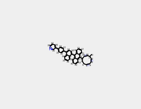 CC1/C=C\C=C/CCC(c2c3ccccc3c(-c3ccc(-c4ccc(-c5cccnc5)cc4)c4ccccc34)c3ccccc23)/C=C\1